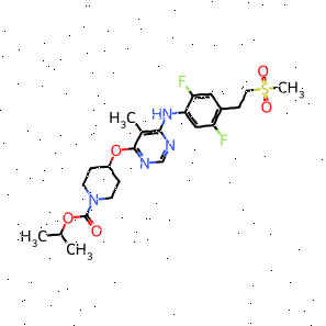 Cc1c(Nc2cc(F)c(CCS(C)(=O)=O)cc2F)ncnc1OC1CCN(C(=O)OC(C)C)CC1